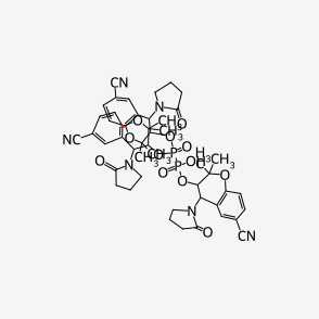 CC1(C)Oc2ccc(C#N)cc2C(N2CCCC2=O)C1OP(=O)(O)P(=O)(OC1C(N2CCCC2=O)c2cc(C#N)ccc2OC1(C)C)OC1C(N2CCCC2=O)c2cc(C#N)ccc2OC1(C)C